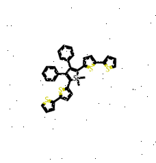 C[Si]1(C)C(c2ccc(-c3cccs3)s2)=C(c2ccccc2)C(c2ccccc2)=C1c1ccc(-c2cccs2)s1